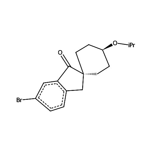 CC(C)O[C@H]1CC[C@]2(CC1)Cc1ccc(Br)cc1C2=O